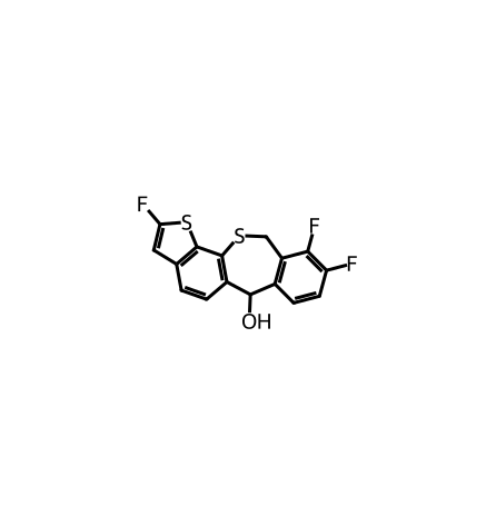 OC1c2ccc(F)c(F)c2CSc2c1ccc1cc(F)sc21